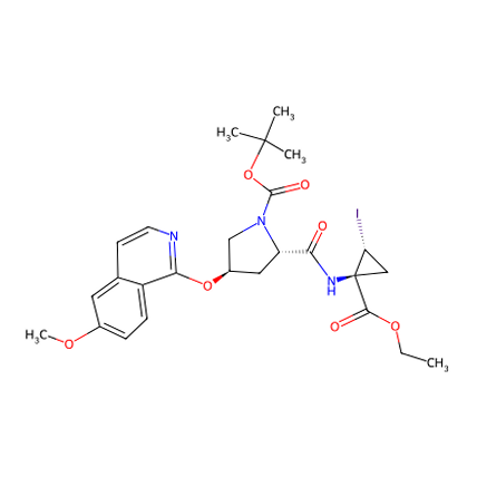 CCOC(=O)[C@@]1(NC(=O)[C@@H]2C[C@@H](Oc3nccc4cc(OC)ccc34)CN2C(=O)OC(C)(C)C)C[C@H]1I